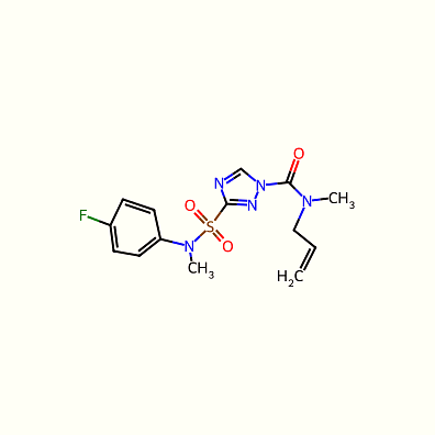 C=CCN(C)C(=O)n1cnc(S(=O)(=O)N(C)c2ccc(F)cc2)n1